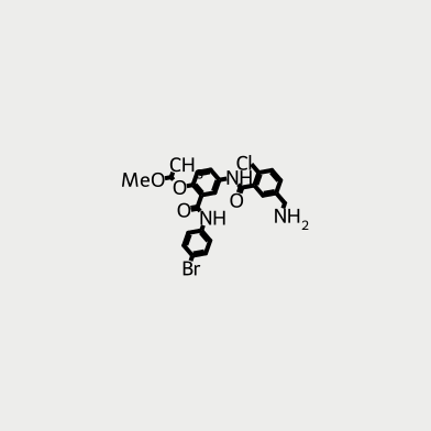 COC(C)Oc1ccc(NC(=O)c2cc(CN)ccc2Cl)cc1C(=O)Nc1ccc(Br)cc1